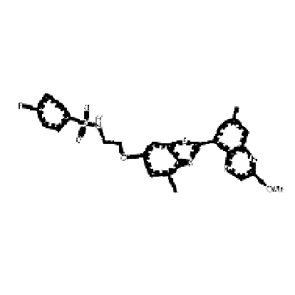 COc1cnc2c(-c3nc4c(C)cc(OCCNS(=O)(=O)c5ccc(F)cc5)cc4s3)cc(C)cc2n1